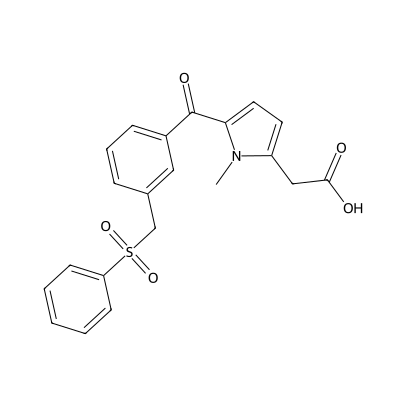 Cn1c(CC(=O)O)ccc1C(=O)c1cccc(CS(=O)(=O)c2ccccc2)c1